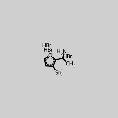 Br.Br.Br.CC(N)c1occ[c]1[Sn]